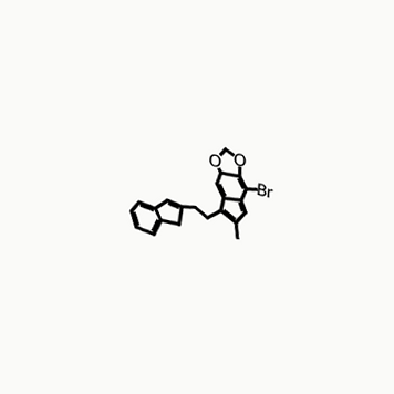 CC1=C(CCC2=Cc3ccccc3C2)C2=CC3OCOC3=C(Br)C2=C1